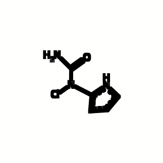 NC(=O)N(Cl)c1ccc[nH]1